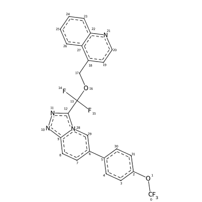 FC(F)(F)Oc1ccc(-c2ccc3nnc(C(F)(F)OCc4ccnc5ccccc45)n3c2)cc1